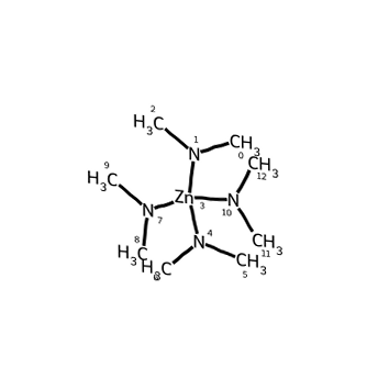 C[N](C)[Zn]([N](C)C)([N](C)C)[N](C)C